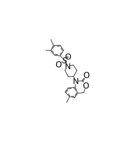 Cc1ccc2c(c1)COC(=O)N2C1CCN(S(=O)(=O)c2ccc(C)c(C)c2)CC1